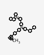 C[C@H]1CC2CC3CC(c4ccc(-c5ccc(N(c6ccc(-c7cccc(-c8ccccc8)c7)cc6)c6ccc(-c7cccc(-n8c9ccccc9c9c%10ccccc%10ccc98)c7)cc6)cc5)cc4)(C1)C[C@H]23